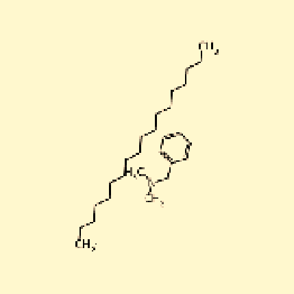 CN(C)Cc1ccccc1.[CH2]CCCCCCCCCCCCCCCCC